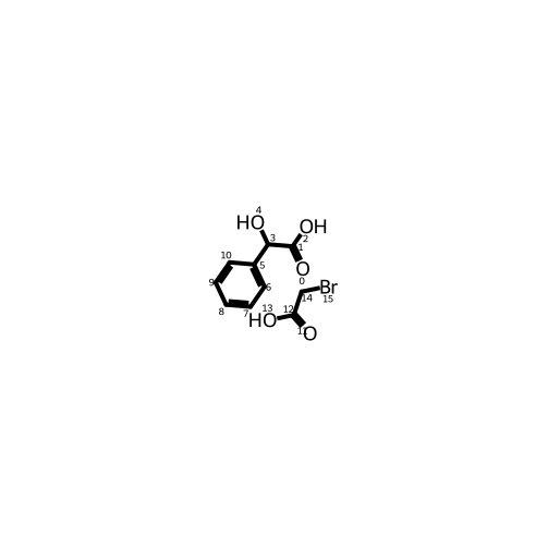 O=C(O)C(O)c1ccccc1.O=C(O)CBr